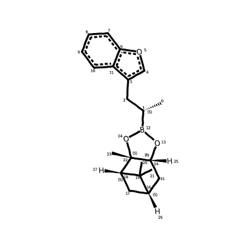 C[C@@H](Cc1coc2ccccc12)B1O[C@@H]2C[C@@H]3C[C@@H](C3(C)C)[C@]2(C)O1